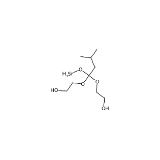 CC(C)CC(O[SiH3])(OCCO)OCCO